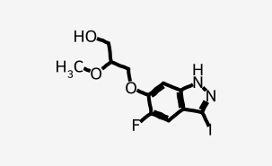 COC(CO)COc1cc2[nH]nc(I)c2cc1F